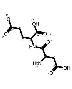 NC(CC(=O)O)C(=O)NC(CCC(=O)O)C(=O)O